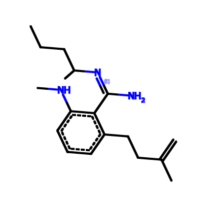 C=C(C)CCc1cccc(NC)c1/C(N)=N\C(C)CCC